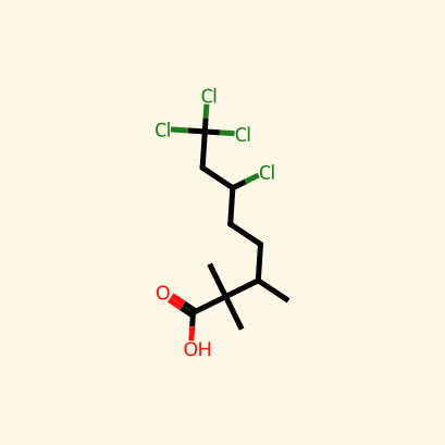 CC(CCC(Cl)CC(Cl)(Cl)Cl)C(C)(C)C(=O)O